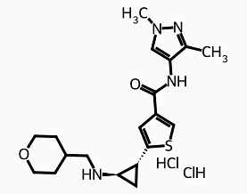 Cc1nn(C)cc1NC(=O)c1csc([C@@H]2C[C@H]2NCC2CCOCC2)c1.Cl.Cl